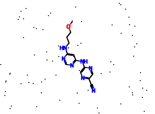 COCCCNc1cc(Nc2cnc(C#N)cn2)ncn1